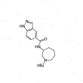 CCCCN1CCCCC(NC(=O)c2ccc3[nH]ncc3c2)C1